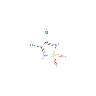 O=S1(=O)N=C(Cl)C(Cl)=N1